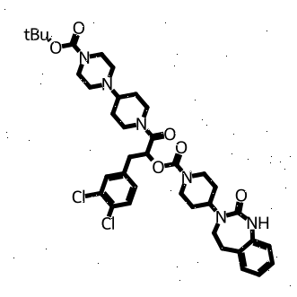 CC(C)(C)OC(=O)N1CCN(C2CCN(C(=O)C(Cc3ccc(Cl)c(Cl)c3)OC(=O)N3CCC(N4CCc5ccccc5NC4=O)CC3)CC2)CC1